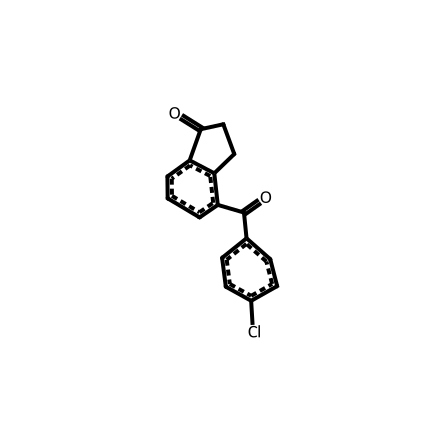 O=C1CCc2c1cccc2C(=O)c1ccc(Cl)cc1